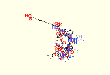 C=C1/C=C\C=C/CN/C=C\1C[C@@H]1NC(=O)[C@H](CCCNC(=N)N)NC(=O)[C@@H](Cc2ccccc2)NC(=O)[C@@H]2C[C@@H](O)CN2C(=O)[C@@H](NC(=O)[C@H](CCCC)NC(=O)[C@H](CN)NC(=O)[C@H](Cc2c[nH]cn2)NC(=O)[C@H](CCC(N)=O)NC(=O)[C@H](CO)NC(=O)CNC(=O)COCCOCCNC(=O)C[C@H](NC(=O)CCCCCCCCCCCCCCCCC(=O)O)C(=O)O)CCC(=O)NCCCC[C@@H](C(N)=O)NC1=O